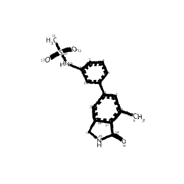 Cc1cc(-c2cccc(NS(C)(=O)=O)c2)cc2c1C(=O)NC2